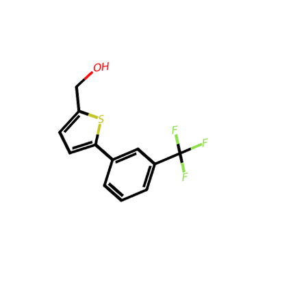 OCc1ccc(-c2cccc(C(F)(F)F)c2)s1